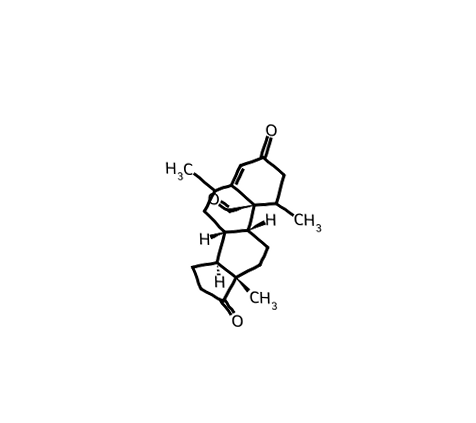 CC1C[C@@H]2[C@@H](CC[C@]3(C)C(=O)CC[C@@H]23)[C@]2(C=O)C1=CC(=O)CC2C